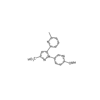 COc1ccc(-n2nc(C(=O)O)cc2-c2cccc(C)n2)cn1